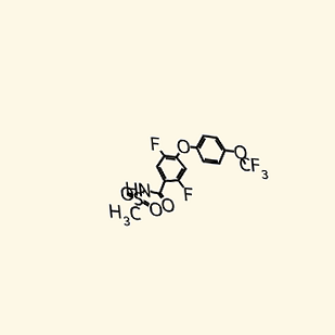 CS(=O)(=O)NC(=O)c1cc(F)c(Oc2ccc(OC(F)(F)F)cc2)cc1F